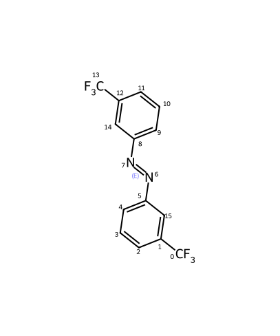 FC(F)(F)c1cccc(/N=N/c2cccc(C(F)(F)F)c2)c1